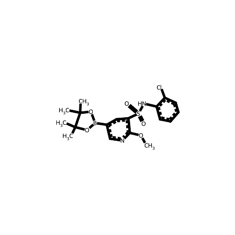 COc1ncc(B2OC(C)(C)C(C)(C)O2)cc1S(=O)(=O)Nc1ccccc1Cl